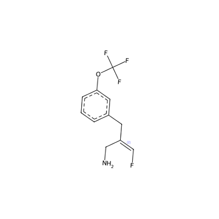 NC/C(=C\F)Cc1cccc(OC(F)(F)F)c1